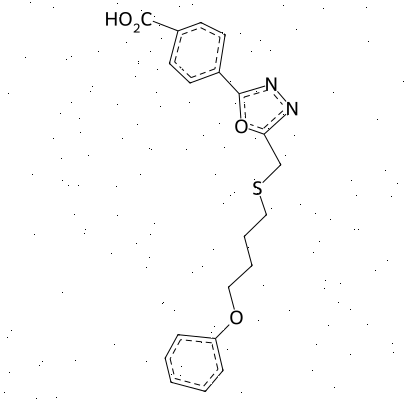 O=C(O)c1ccc(-c2nnc(CSCCCCOc3ccccc3)o2)cc1